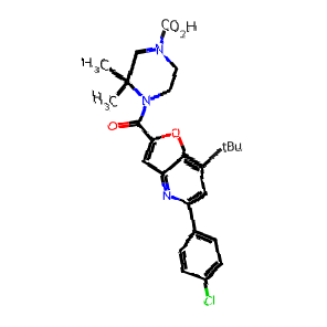 CC(C)(C)c1cc(-c2ccc(Cl)cc2)nc2cc(C(=O)N3CCN(C(=O)O)CC3(C)C)oc12